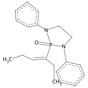 CC/C=C(/CC)P1(=O)N(c2ccccc2)CCN1c1ccccc1